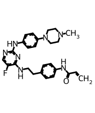 C=CC(=O)Nc1ccc(CCNc2nc(Nc3ccc(N4CCN(C)CC4)cc3)ncc2F)cc1